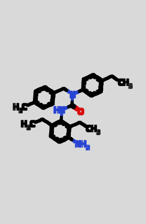 CCc1ccc(N(Cc2ccc(C)cc2)C(=O)Nc2c(CC)ccc(N)c2CC)cc1